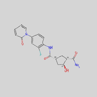 NC(=O)[C@H]1C[C@@H](C(=O)Nc2ccc(-n3ccccc3=O)cc2F)C[C@@H]1O